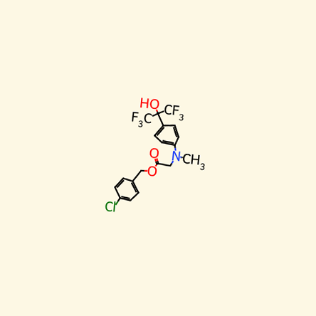 CN(CC(=O)OCc1ccc(Cl)cc1)c1ccc(C(O)(C(F)(F)F)C(F)(F)F)cc1